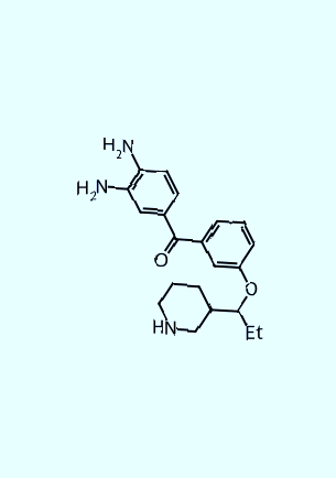 CCC(Oc1cccc(C(=O)c2ccc(N)c(N)c2)c1)C1CCCNC1